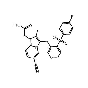 Cc1c(CC(=O)O)c2ccc(C#N)cn2c1Cc1ccccc1S(=O)(=O)c1ccc(F)cc1